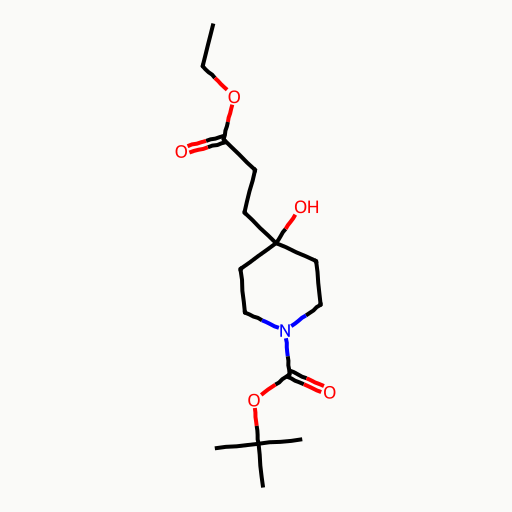 CCOC(=O)CCC1(O)CCN(C(=O)OC(C)(C)C)CC1